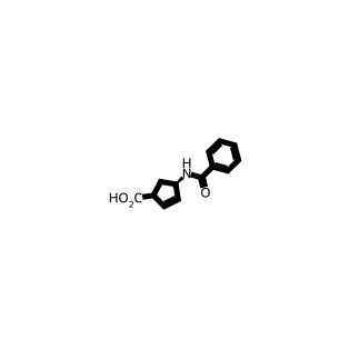 O=C(N[C@H]1C=CC(C(=O)O)C1)c1ccccc1